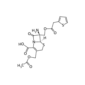 CC(=O)OCC1=C(C(=O)O)N2C(=O)[C@](N)(COC(=O)Cc3cccs3)[C@H]2SC1